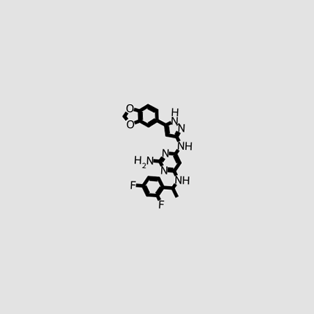 CC(Nc1cc(Nc2cc(-c3ccc4c(c3)OCO4)[nH]n2)nc(N)n1)c1ccc(F)cc1F